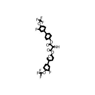 N=C(C(=O)Oc1ccc(-c2ccc(OC(F)(F)F)c(F)c2)cc1)C(=O)Oc1ccc(-c2ccc(OC(F)(F)F)c(F)c2)cc1